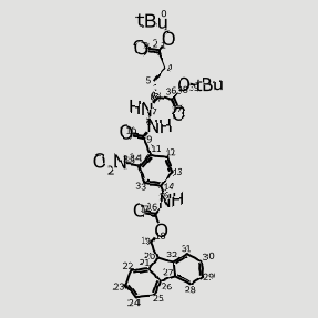 CC(C)(C)OC(=O)CC[C@@H](NNC(=O)c1ccc(NC(=O)OCC2c3ccccc3-c3ccccc32)cc1[N+](=O)[O-])C(=O)OC(C)(C)C